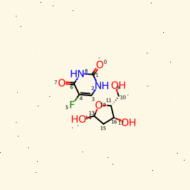 O=c1[nH]cc(F)c(=O)[nH]1.OC[C@H]1OC(O)C[C@@H]1O